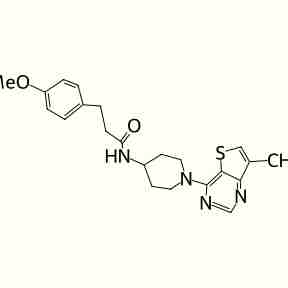 COc1ccc(CCC(=O)NC2CCN(c3ncnc4c(C)csc34)CC2)cc1